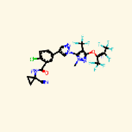 Cn1nc(O/C(=C(/F)C(F)(F)F)C(F)(F)F)c(C(F)(F)F)c1-n1cc(-c2ccc(Cl)c(C(=O)NC3(C#N)CC3)c2)cn1